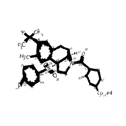 Cc1cc2c(cc1C(F)(C(F)(F)F)C(F)(F)F)CC[C@H]1N(C(=O)C3CCC(C(=O)O)CC3)CC[C@@]21S(=O)(=O)c1ccc(F)cc1